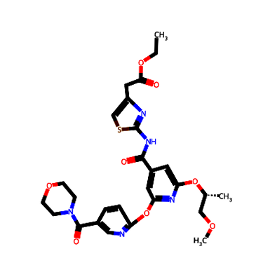 CCOC(=O)Cc1csc(NC(=O)c2cc(Oc3ccc(C(=O)N4CCOCC4)cn3)nc(O[C@H](C)COC)c2)n1